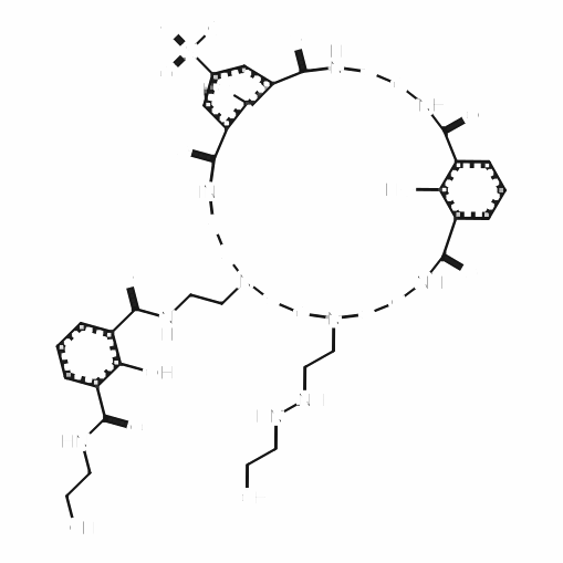 CCCNNCCN1CCNC(=O)c2cccc(c2O)C(=O)NCCNC(=O)c2cc(S(=O)(=O)Cl)cc(c2O)C(=O)NCCN(CCNC(=O)c2cccc(C(=O)NCCC)c2O)CC1